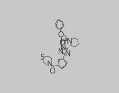 O=C(c1cccc(-c2n[nH]c([C@H]3CCCCN3C(=O)COc3ccccc3)n2)c1)N1CCSCC1